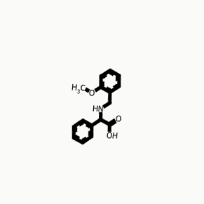 COc1ccccc1CNC(C(=O)O)c1ccccc1